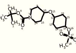 CC(C)(C)OC(=O)N1CCC(OC2CCC(OS(C)(=O)=O)CC2)CC1